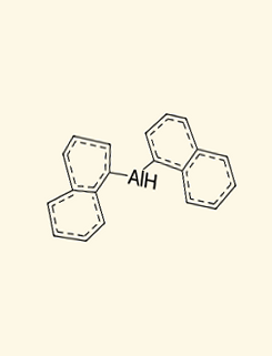 c1ccc2[c]([AlH][c]3cccc4ccccc34)cccc2c1